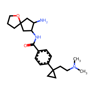 CN(C)CCC1(c2ccc(C(=O)NC3CC4(CCCO4)CC3N)cc2)CC1